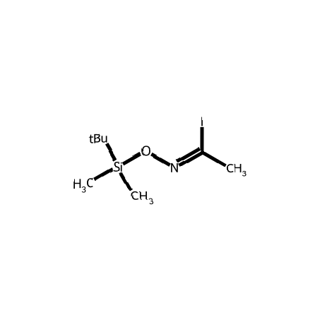 CC(I)=NO[Si](C)(C)C(C)(C)C